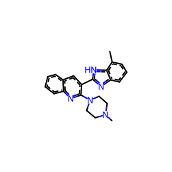 Cc1cccc2nc(-c3cc4ccccc4nc3N3CCN(C)CC3)[nH]c12